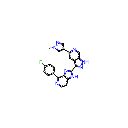 Cn1cc(-c2cc3c(-c4nc5c(-c6ccc(F)cc6)nccc5[nH]4)n[nH]c3cn2)cn1